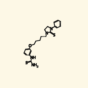 NC(=S)Nc1cccc(OCCCCCN2CCN(c3ccccc3)C2=S)c1